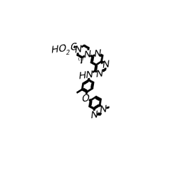 Cc1cc(Nc2ncnc3cnc(N4CCN(C(=O)O)C[C@@H]4C)cc23)ccc1Oc1ccc2c(c1)ncn2C